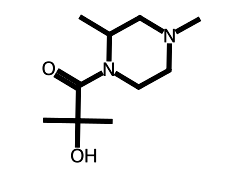 CC1CN(C)CCN1C(=O)C(C)(C)O